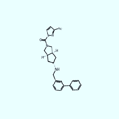 CC(=O)c1ccn(C(=O)N2C[C@H]3C[C@H](NCc4cccc(-c5ccccc5)c4)C[C@H]3C2)n1